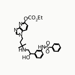 CCOC(=O)Oc1ccc2c(ncn2CCC(C)(C)NCC(O)c2cccc(NS(=O)(=O)c3ccccc3)c2)n1